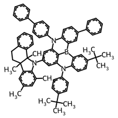 Cc1cc(C)c2c(c1)C1(C)CCc3ccccc3C1(C)N2c1cc2c3c(c1)N(c1ccc(C(C)(C)C)cc1)c1ccc(C(C)(C)C)cc1B3c1cc(-c3ccccc3)ccc1N2c1ccc(-c2ccccc2)cc1